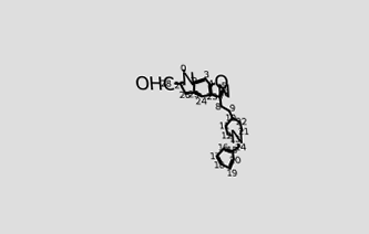 CN1c2cc3onc(CCC4CCN(Cc5ccccc5)CC4)c3cc2CC1C=O